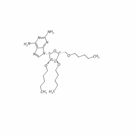 CCCCCOC[C@H]1O[C@@H](n2cnc3c(N)nc(N)nc32)[C@H](OCCCCC)[C@@H]1OCCCCC